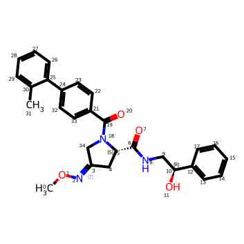 CO/N=C1/C[C@@H](C(=O)NC[C@H](O)c2ccccc2)N(C(=O)c2ccc(-c3ccccc3C)cc2)C1